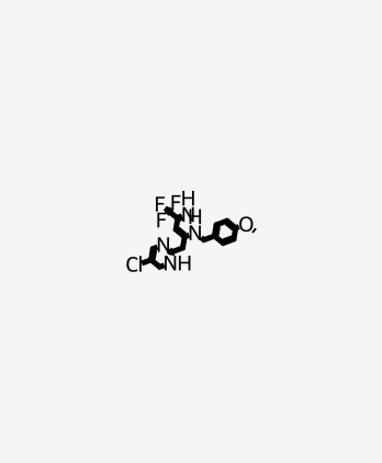 COc1ccc(CN/C(=C\C(=N)C(F)(F)F)CC2=NC=C(Cl)CN2)cc1